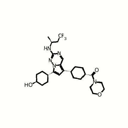 C[C@@H](CC(F)(F)F)Nc1ncc2c([C@H]3CC[C@@H](C(=O)N4CCOCC4)CC3)cc([C@H]3CC[C@H](O)CC3)n2n1